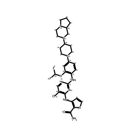 NC(=O)c1sccc1Nc1nc(Nc2ccc(N3CCC(N4CCN5CCCC5C4)CC3)cc2OC(F)F)ncc1Cl